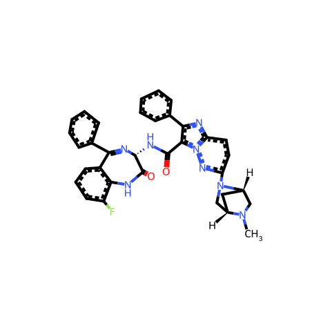 CN1C[C@@H]2C[C@H]1CN2c1ccc2nc(-c3ccccc3)c(C(=O)N[C@H]3N=C(c4ccccc4)c4cccc(F)c4NC3=O)n2n1